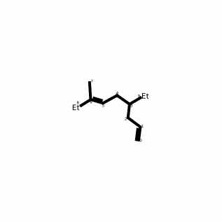 C=CCC([CH]/C=C(\C)CC)CC